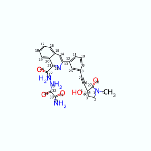 CN1CC[C@@](O)(C#Cc2cccc(-c3cc4ccccc4c(C(N)=O)n3)c2)C1=O.NC(=O)C(N)=O